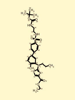 CCCN(c1nc(C(=O)OCC)cs1)c1cc(-c2ccc(S(=O)(=O)NCCNC(=O)OC(C)(C)C)cc2)ccc1C